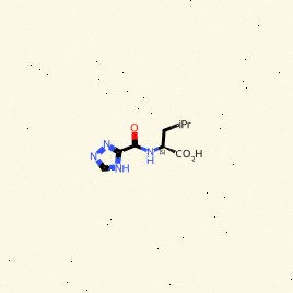 CC(C)C[C@H](NC(=O)c1nnc[nH]1)C(=O)O